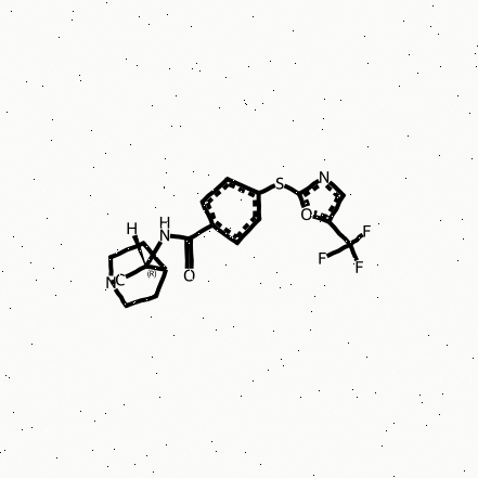 O=C(N[C@H]1CN2CCC1CC2)c1ccc(Sc2ncc(C(F)(F)F)o2)cc1